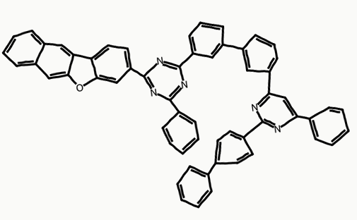 c1ccc(-c2ccc(-c3nc(-c4ccccc4)cc(-c4cccc(-c5cccc(-c6nc(-c7ccccc7)nc(-c7ccc8c(c7)oc7cc9ccccc9cc78)n6)c5)c4)n3)cc2)cc1